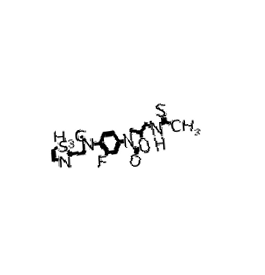 CC(=S)NCC1CN(c2ccc(N(C)Cc3nccs3)c(F)c2)C(=O)O1